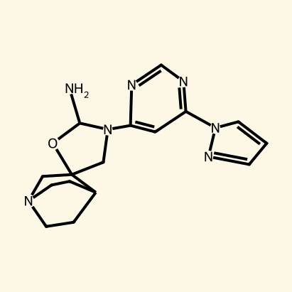 NC1OC2(CN3CCC2CC3)CN1c1cc(-n2cccn2)ncn1